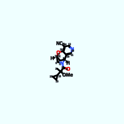 COC(C)(C(=O)N1C[C@@H]2C[C@H]1c1cncc(C#N)c1O2)C1CC1